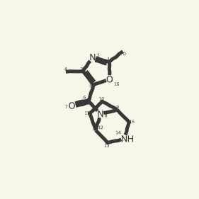 Cc1nc(C)c(C(=O)N2C3CCC2CNC3)o1